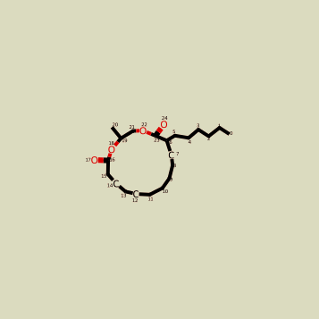 CCCCCCC1CCCCCCCCCC(=O)OC(C)COC1=O